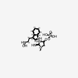 CN1CC(=O)NC1=N.O=S(=O)(O)O.ONCCc1c[nH]c2ccccc12